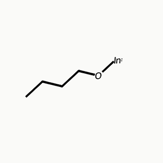 CCCC[O][In]